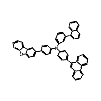 c1cc(-c2cccc3ccccc23)cc(N(c2ccc(-c3ccc4oc5ccccc5c4c3)cc2)c2ccc(-c3cc4ccccc4c4ccccc34)cc2)c1